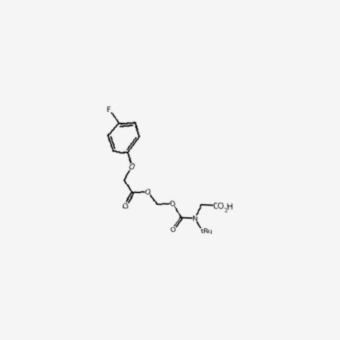 CC(C)(C)N(CC(=O)O)C(=O)OCOC(=O)COc1ccc(F)cc1